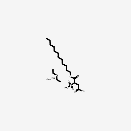 CCCCCCCCCCCCOC(=O)C(CC(=O)O)S(=O)(=O)O.CCOCC.[NaH].[NaH]